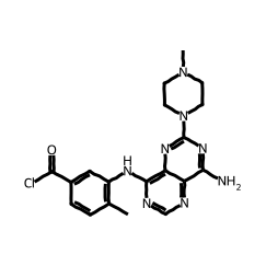 Cc1ccc(C(=O)Cl)cc1Nc1ncnc2c(N)nc(N3CCN(C)CC3)nc12